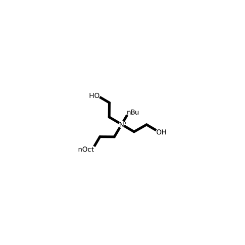 CCCCCCCCCC[N+](CCO)(CCO)CCCC